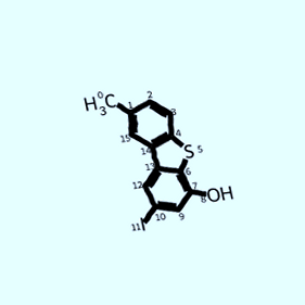 Cc1ccc2sc3c(O)cc(I)cc3c2c1